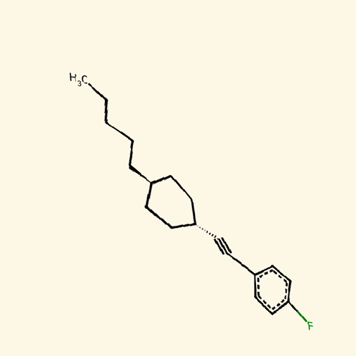 CCCCC[C@H]1CC[C@H](C#Cc2ccc(F)cc2)CC1